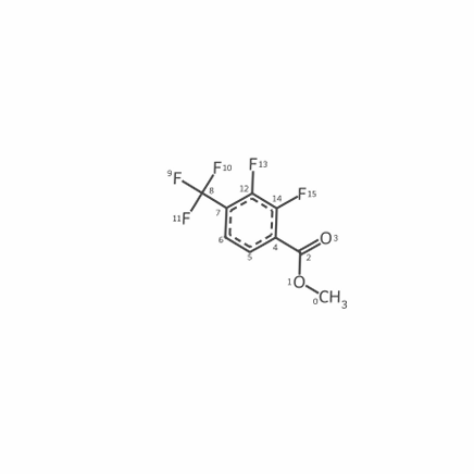 COC(=O)c1ccc(C(F)(F)F)c(F)c1F